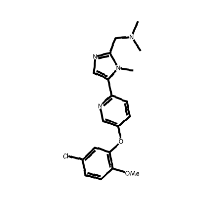 COc1ccc(Cl)cc1Oc1ccc(-c2cnc(CN(C)C)n2C)nc1